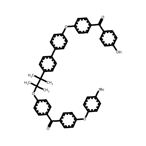 CC(C)(C)c1ccc(Oc2ccc(C(=O)c3ccc(OC(C)(C)C(C)(C)c4ccc(-c5ccc(Oc6ccc(C(=O)c7ccc(O)cc7)cc6)cc5)cc4)cc3)cc2)cc1